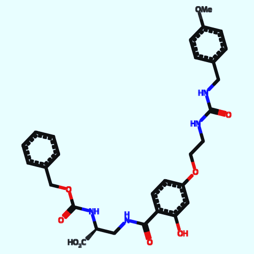 COc1ccc(CNC(=O)NCCOc2ccc(C(=O)NC[C@H](NC(=O)OCc3ccccc3)C(=O)O)c(O)c2)cc1